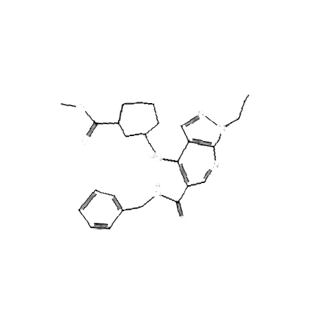 CCn1ncc2c(NC3CCCC(C(=O)OC)C3)c(C(=O)NCc3ccccc3)cnc21